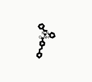 O=C(Nc1nc(-c2ccccc2)cn1-c1ccccc1)c1ccc(CCc2ccccc2)cc1